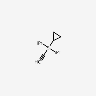 C#C[Si](C(C)C)(C(C)C)C1CC1